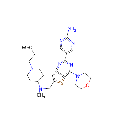 COCCN1CCC(N(C)Cc2cc3nc(-c4cnc(N)nc4)nc(N4CCOCC4)c3s2)CC1